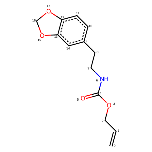 C=CCOC(=O)NCCc1ccc2c(c1)OCO2